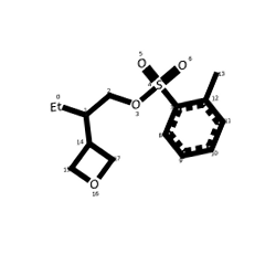 CCC(COS(=O)(=O)c1ccccc1C)C1COC1